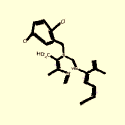 C=N/C(C)=C(/C(=O)O)N(CB/C(=C/C=C\C)C(=C)C)Cc1cc(Cl)ccc1Cl